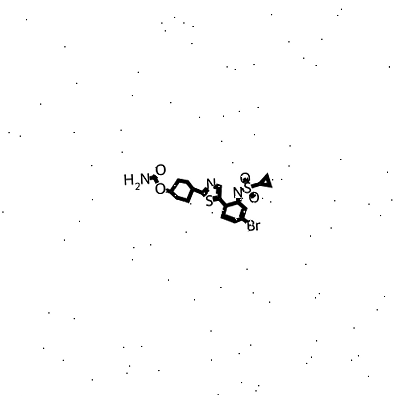 NC(=O)OC1CCC(c2ncc(C3C=CC(Br)=CC3=NS(=O)(=O)C3CC3)s2)CC1